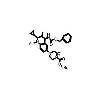 CC(=O)N1c2ccc(N3CCN(C(=O)OC(C)(C)C)[C@H](C)C3)cc2C(NC(=O)OCc2ccccc2)C(C)C1C1CC1